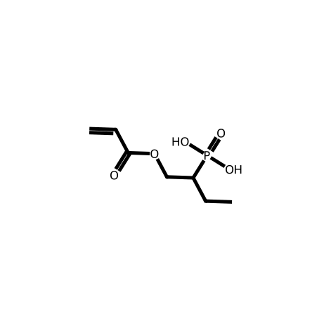 C=CC(=O)OCC(CC)P(=O)(O)O